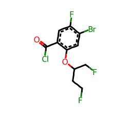 O=C(Cl)c1cc(F)c(Br)cc1OC(CF)CCF